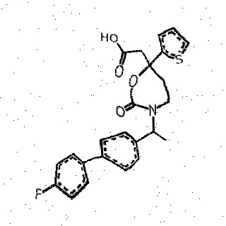 CC(c1ccc(-c2ccc(F)cc2)cc1)N1CCC(CC(=O)O)(c2cccs2)OC1=O